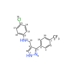 FC(F)(F)c1ccc(-c2n[nH]cc2CNc2ccc(Cl)cc2)cc1